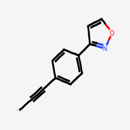 [CH2]C#Cc1ccc(-c2ccon2)cc1